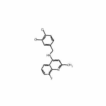 Cc1cc(NCc2ccc(Cl)c(Cl)c2)c2cccc(F)c2n1